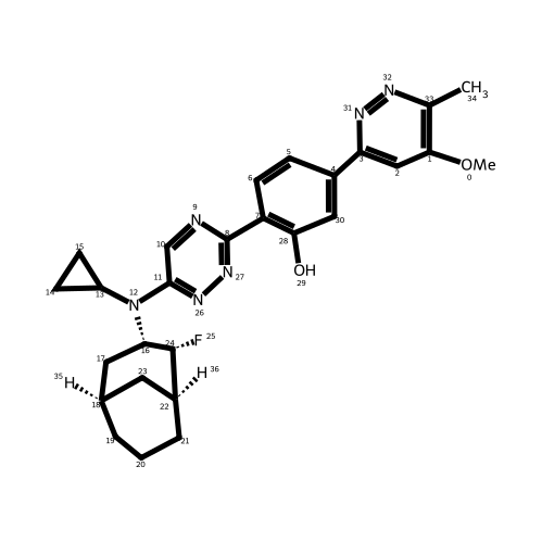 COc1cc(-c2ccc(-c3ncc(N(C4CC4)[C@H]4C[C@@H]5CCC[C@@H](C5)[C@H]4F)nn3)c(O)c2)nnc1C